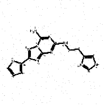 Nc1nc(NCCc2c[nH]cn2)nc2nc(-c3ccco3)nn12